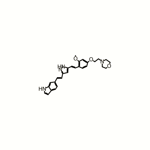 COc1cc(OCCN2CCOCC2)ccc1C=Cc1cc(C=Cc2ccc3cc[nH]c3c2)n[nH]1